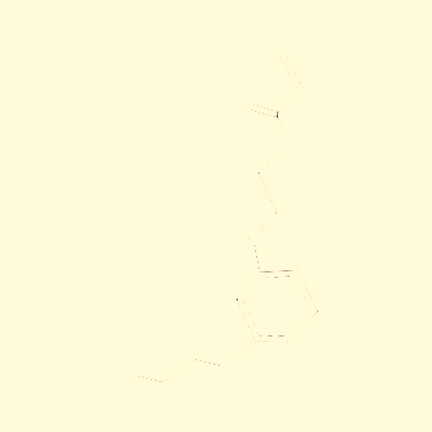 C=CC(=O)OCCOc1cccc(OCCO)c1